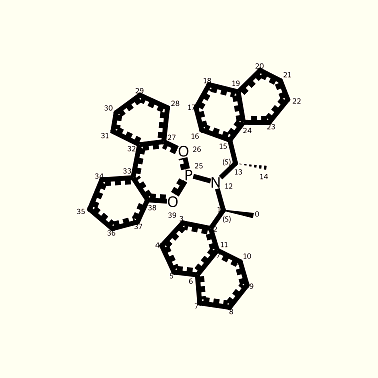 C[C@@H](c1cccc2ccccc12)N([C@@H](C)c1cccc2ccccc12)p1oc2ccccc2c2ccccc2o1